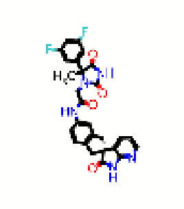 CC1(c2cc(F)cc(F)c2)C(=O)NC(=O)N1CC(=O)Nc1ccc2c(c1)C[C@@]1(C2)C(=O)Nc2ncccc21